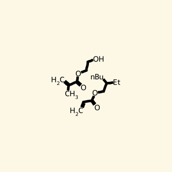 C=C(C)C(=O)OCCO.C=CC(=O)OCC(CC)CCCC